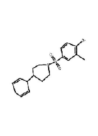 Cc1cc(S(=O)(=O)N2CCC(C3C=CCC=C3)CC2)ccc1Br